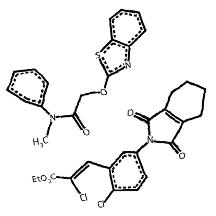 CCOC(=O)/C(Cl)=C/c1cc(N2C(=O)C3=C(CCCC3)C2=O)ccc1Cl.CN(C(=O)COc1nc2ccccc2s1)c1ccccc1